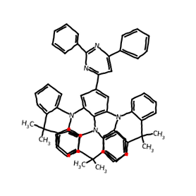 CC1(C)c2ccccc2N(c2cc(-c3cc(-c4ccccc4)nc(-c4ccccc4)n3)cc(N3c4ccccc4C(C)(C)c4ccccc43)c2N2c3ccccc3C(C)(C)c3ccccc32)c2ccccc21